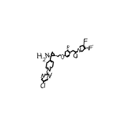 N[C@]1(C2CCN(c3ncc(Cl)cn3)CC2)C[C@H]1CCOc1ccc(CC(=O)N2C[C@H](F)[C@@H](F)C2)c(F)c1